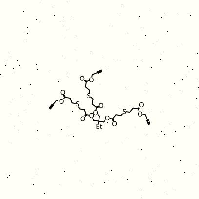 C#CCOC(=O)CCSCCC(=O)OCC(CC)(COC(=O)CCSCCC(=O)OCC#C)COC(=O)CCSCCC(=O)OCC#C